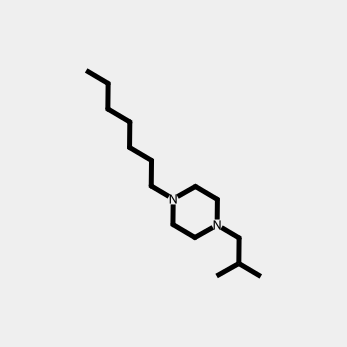 CCCCCCCN1CCN(CC(C)C)CC1